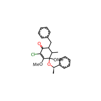 COC1=C(Cl)C(=O)C(Cc2ccccc2)C(C)C1(OC)O[C@H](C)c1ccccc1